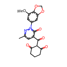 COc1cc(-n2nc(C)cc(C(=O)C3C(=O)CCCC3=O)c2=O)cc2c1OCO2